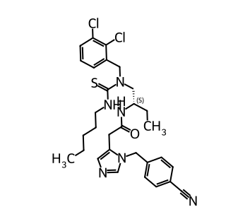 CCCCCNC(=S)N(Cc1cccc(Cl)c1Cl)C[C@H](CC)NC(=O)Cc1cncn1Cc1ccc(C#N)cc1